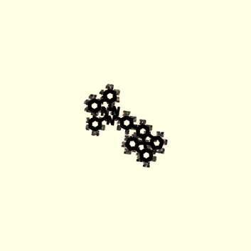 c1ccc(-c2nc(-c3ccc(-c4ccc5c(c4)C4(c6ccccc6-c6ccccc64)c4ccccc4-5)cc3)nc(-c3ccccc3-c3ccccc3)n2)cc1